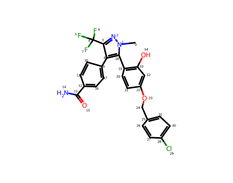 Cn1nc(C(F)(F)F)c(-c2ccc(C(N)=O)cc2)c1-c1ccc(OCc2ccc(Cl)cc2)cc1O